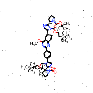 COc1nc(-c2ccc(-c3cnc([C@@]4(C(C)(C)C)CCCN4C(=O)O)n3COCC[Si](C)(C)C)cc2)nc2ccc(-c3cnc([C@@H]4CCCN4C(=O)OC(C)(C)C)n3COCC[Si](C)(C)C)cc12